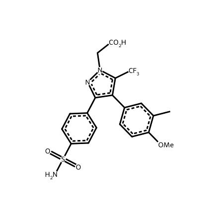 COc1ccc(-c2c(-c3ccc(S(N)(=O)=O)cc3)nn(CC(=O)O)c2C(F)(F)F)cc1C